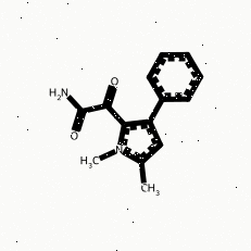 Cc1cc(-c2ccccc2)c(C(=O)C(N)=O)n1C